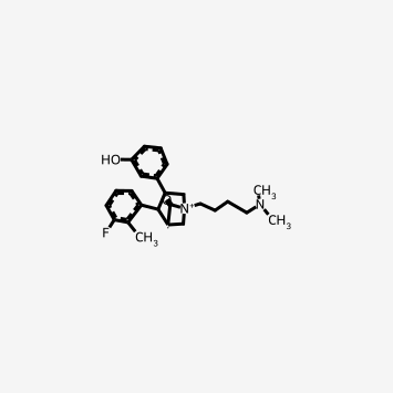 Cc1c(F)cccc1C1[C]2C[N+](CCCCN(C)C)(CC1c1cccc(O)c1)C2=O